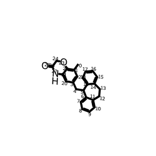 Cc1cc(CC2c3ccccc3CCc3ccccc32)cc2c1OCC(=O)N2